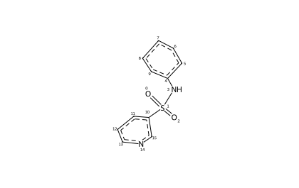 O=S(=O)(Nc1ccccc1)c1cccnc1